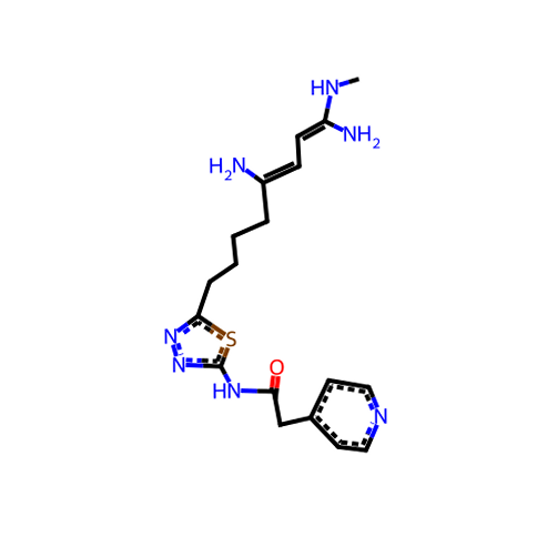 CN/C(N)=C/C=C(\N)CCCCc1nnc(NC(=O)Cc2ccncc2)s1